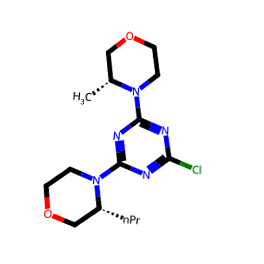 CCC[C@@H]1COCCN1c1nc(Cl)nc(N2CCOC[C@H]2C)n1